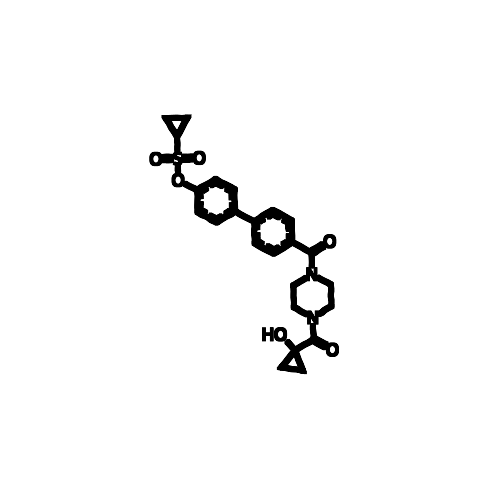 O=C(c1ccc(-c2ccc(OS(=O)(=O)C3CC3)cc2)cc1)N1CCN(C(=O)C2(O)CC2)CC1